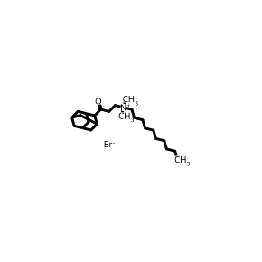 CCCCCCCCCC[N+](C)(C)CCC(=O)C1C2CC3CC(C2)CC1C3.[Br-]